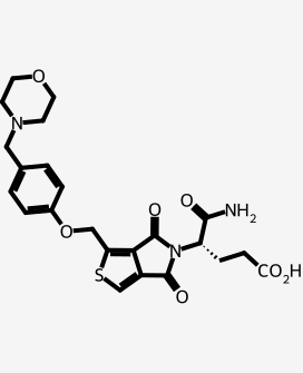 NC(=O)[C@H](CCC(=O)O)N1C(=O)c2csc(COc3ccc(CN4CCOCC4)cc3)c2C1=O